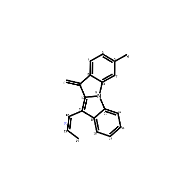 C=c1c2ccc(C)cc2n2c1c(/C=C\C)c1ccccc12